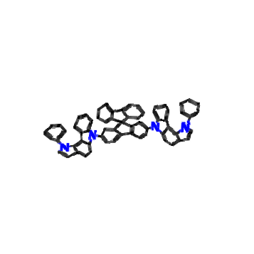 c1ccc(-n2ccc3ccc4c(c5ccccc5n4-c4ccc5c(c4)C4(c6ccccc6-c6ccccc64)c4cc(-n6c7ccccc7c7c8c(ccc76)ccn8-c6ccccc6)ccc4-5)c32)cc1